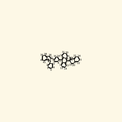 c1ccc(-n2c(-c3ccc(-c4c5ccccc5c(-c5ccc6ccccc6n5)c5ccccc45)cc3)cc3ccccc32)cc1